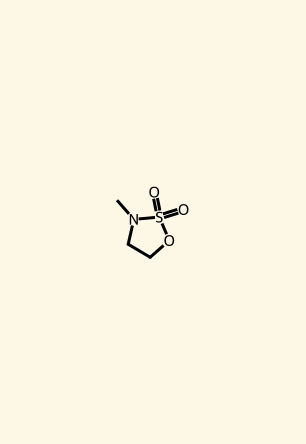 CN1CCOS1(=O)=O